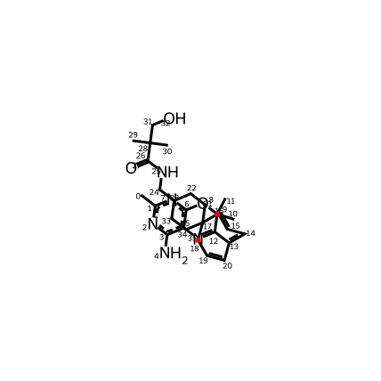 Cc1nc(N)c2c(n1)OC(C)(C)C(C1=C\C=C\C3(C/C=C\1)CCC(CNC(=O)C(C)(C)CO)CC3)=N2